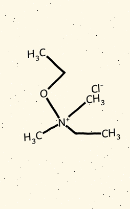 CCO[N+](C)(C)CC.[Cl-]